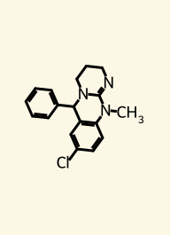 CN1C2=NCCCN2C(c2ccccc2)c2cc(Cl)ccc21